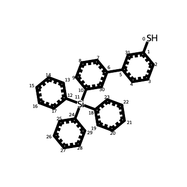 Sc1cccc(-c2cccc([Si](c3ccccc3)(c3ccccc3)c3ccccc3)c2)c1